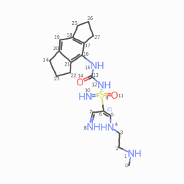 CNCCN/C=C(\C=N)S(=N)(=O)NC(=O)Nc1c2c(cc3c1CCC3)CCC2